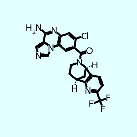 Nc1nc2cc(Cl)c(C(=O)N3CC[C@H]4C[C@@H]3c3ccc(C(F)(F)F)nc34)cc2n2cncc12